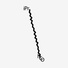 CC(C)CCCCCCCCCCCCCCCCCCCCCCCCCN=C=O